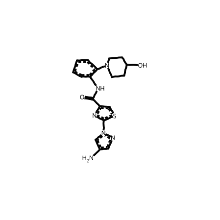 Nc1cnn(-c2nc(C(=O)Nc3ccccc3N3CCC(O)CC3)cs2)c1